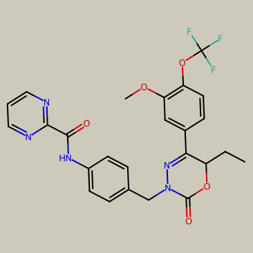 CCC1OC(=O)N(Cc2ccc(NC(=O)c3ncccn3)cc2)N=C1c1ccc(OC(F)(F)F)c(OC)c1